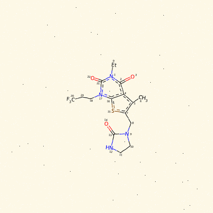 CCn1c(=O)c2c(C)c(CN3CCNC3=O)sc2n(CCC(F)(F)F)c1=O